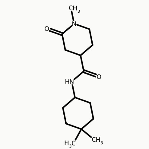 CN1CCC(C(=O)NC2CCC(C)(C)CC2)CC1=O